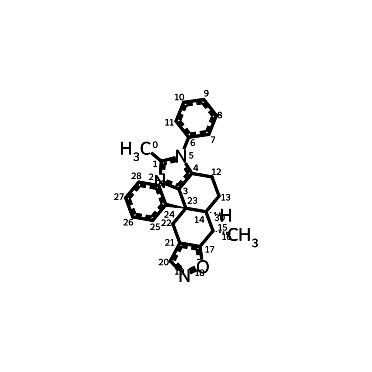 Cc1nc2c(n1-c1ccccc1)CC[C@H]1[C@H](C)c3oncc3C[C@]21c1ccccc1